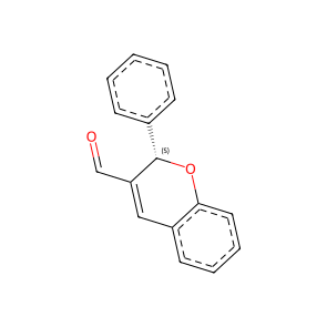 O=CC1=Cc2ccccc2O[C@H]1c1ccccc1